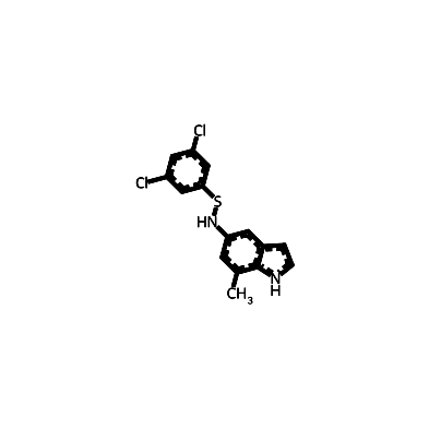 Cc1cc(NSc2cc(Cl)cc(Cl)c2)cc2cc[nH]c12